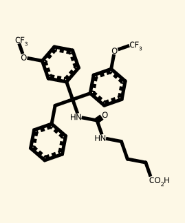 O=C(O)CCCNC(=O)NC(Cc1ccccc1)(c1cccc(OC(F)(F)F)c1)c1cccc(OC(F)(F)F)c1